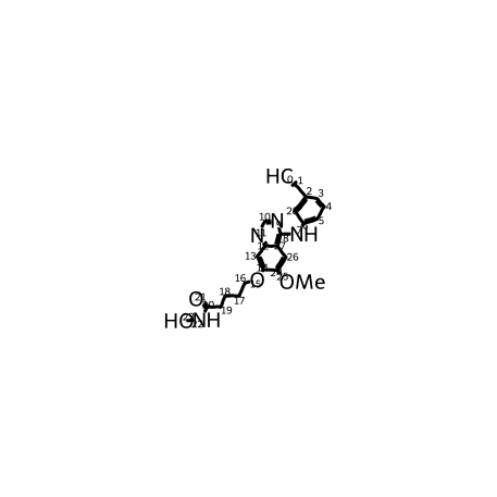 C#Cc1cccc(Nc2ncnc3cc(OCCCCC(=O)NO)c(OC)cc23)c1